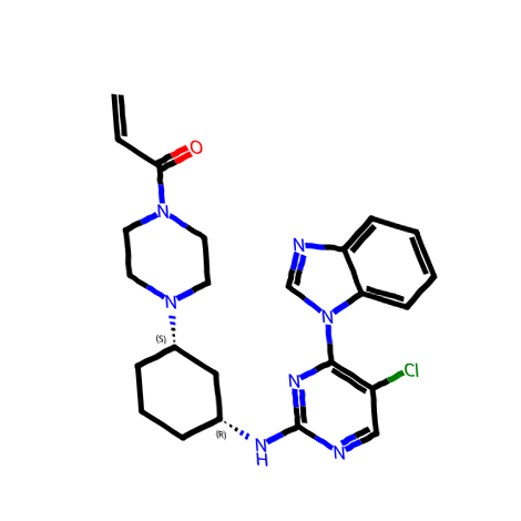 C=CC(=O)N1CCN([C@H]2CCC[C@@H](Nc3ncc(Cl)c(-n4cnc5ccccc54)n3)C2)CC1